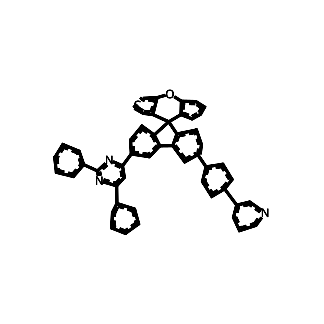 c1ccc(-c2cc(-c3ccc4c(c3)-c3cc(-c5ccc(-c6cccnc6)cc5)ccc3C43c4ccccc4Oc4ccccc43)nc(-c3ccccc3)n2)cc1